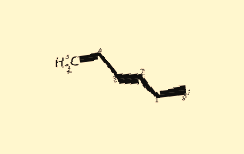 [C]=CC=CC=C